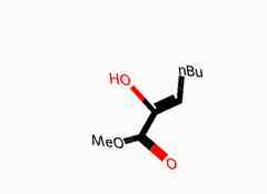 CCCCC=C(O)C(=O)OC